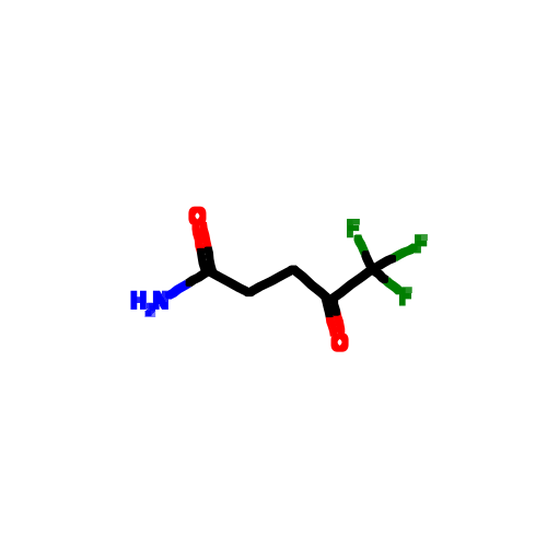 NC(=O)CCC(=O)C(F)(F)F